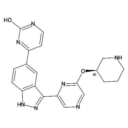 Oc1nccc(-c2ccc3[nH]nc(-c4cncc(O[C@@H]5CCCNC5)n4)c3c2)n1